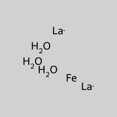 O.O.O.[Fe].[La].[La]